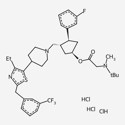 CCc1nc(Cc2cccc(C(F)(F)F)c2)sc1C1CCN(C[C@H]2C[C@H](OC(=O)CN(C)C(C)(C)C)C[C@@H]2c2cccc(F)c2)CC1.Cl.Cl.Cl